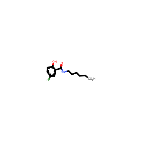 O=C(O)CCCCCNC(=O)c1cc(Cl)ccc1O